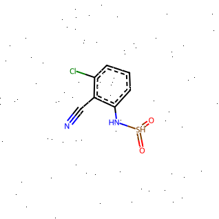 N#Cc1c(Cl)cccc1N[SH](=O)=O